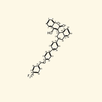 O=c1oc2ccccc2c(O)c1C1CC(c2ccc(-c3ccc(OCc4ccc(C(F)(F)F)cc4)cc3)cc2)Cc2ccccc21